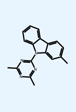 Cc1ccc2c3ccccc3n(-c3nc(C)nc(C)n3)c2c1